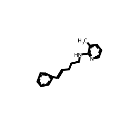 Cc1cccnc1NCCCC=Cc1ccccc1